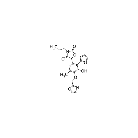 CCCN1C(=O)OC(c2cc(C)c(OCc3ncco3)c(O)c2-c2ccco2)C1=O